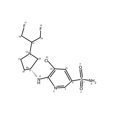 NS(=O)(=O)c1cnc(N[C@@H]2CCN(C(CF)CF)C2)c(Cl)c1